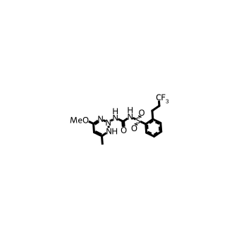 COC1=NN(NC(=O)NS(=O)(=O)c2ccccc2CCC(F)(F)F)NC(C)=C1